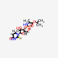 CC(C)OC(=O)[C@H](C)NP1(=O)OC[C@H]2O[C@@H](n3ccc(=O)[nH]c3=S)C(C)(O)C2O1